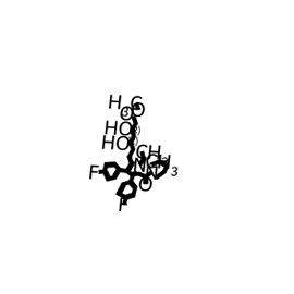 COC(=O)C[C@H](O)C[C@H](O)CCc1c(-c2ccc(F)cc2)c(-c2ccc(F)cc2)c(C(=O)N2CCCCC2)n1C(C)C